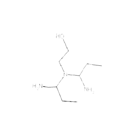 CCC(N)N(CCO)C(N)CC